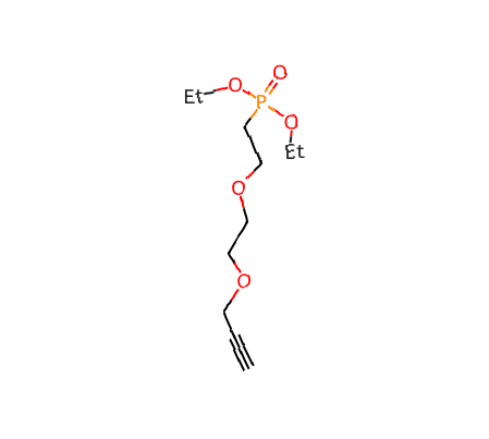 C#CCOCCOCCP(=O)(OCC)OCC